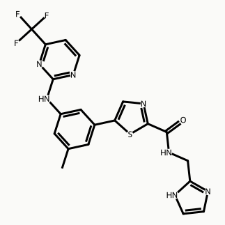 Cc1cc(Nc2nccc(C(F)(F)F)n2)cc(-c2cnc(C(=O)NCc3ncc[nH]3)s2)c1